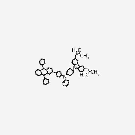 CC(C)Cc1ccc2c(c1)c1cc(CC(C)C)ccc1n2-c1ccc(N(c2ccccc2)c2ccc(-c3ccc4c(-c5ccccc5)c5ccccc5c(-c5ccccc5)c4c3)cc2)cc1